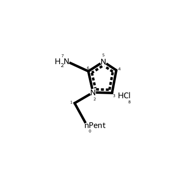 CCCCCCn1ccnc1N.Cl